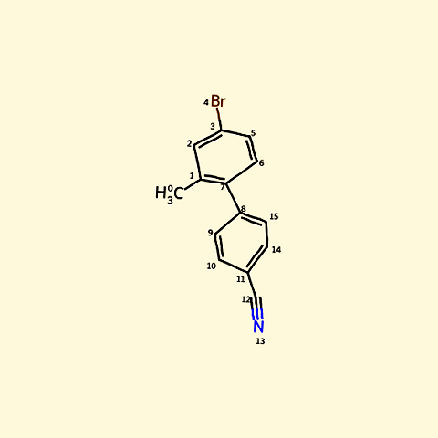 Cc1cc(Br)ccc1-c1ccc(C#N)cc1